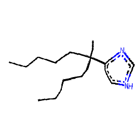 CCCCCC(C)(CCCC)c1c[nH]cn1